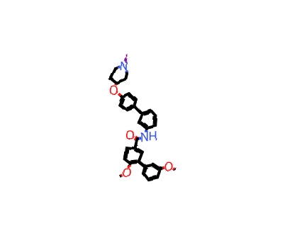 COc1cccc(-c2cc(C(=O)Nc3cccc(-c4ccc(OC5CCN(I)CC5)cc4)c3)ccc2OC)c1